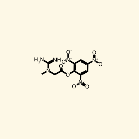 CN(CC(=O)Oc1c([N+](=O)[O-])cc([N+](=O)[O-])cc1[N+](=O)[O-])C(=N)N